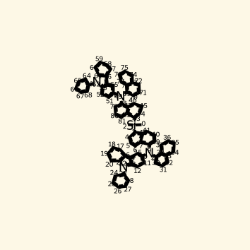 C[Si](C)(c1cccc2c(N(c3ccc4c(c3)c3ccccc3n4-c3ccccc3)c3cccc4ccccc34)cccc12)c1cccc2c(N(c3ccc4c(c3)c3ccccc3n4-c3ccccc3)c3cccc4ccccc34)cccc12